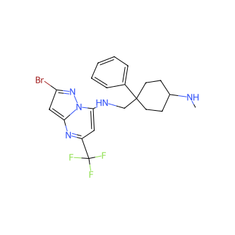 CNC1CCC(CNc2cc(C(F)(F)F)nc3cc(Br)nn23)(c2ccccc2)CC1